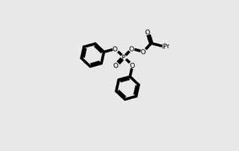 CC(C)C(=O)OOP(=O)(Oc1ccccc1)Oc1ccccc1